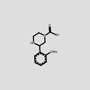 COc1ccccc1C1CN(C(=O)C(C)C)CCN1